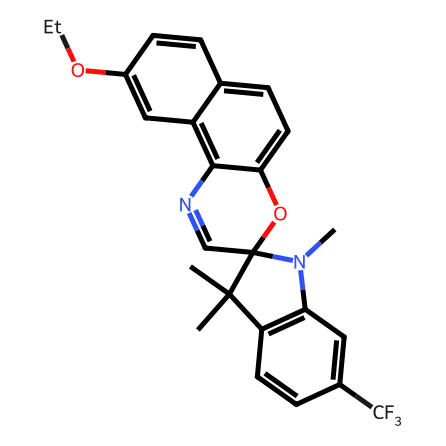 CCOc1ccc2ccc3c(c2c1)N=CC1(O3)N(C)c2cc(C(F)(F)F)ccc2C1(C)C